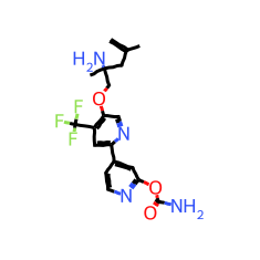 C=C(C)CC(C)(N)COc1cnc(-c2ccnc(OC(N)=O)c2)cc1C(F)(F)F